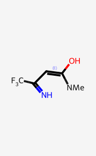 CN/C(O)=C\C(=N)C(F)(F)F